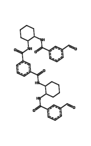 O=Cc1cccc(C(=O)NC2CCCCC2NC(=O)c2cccc(C(=O)NC3CCCCC3NC(=O)c3cccc(C=O)c3)c2)c1